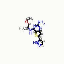 COC[C@@H](C)Nc1nc(N)nc2cc(-c3ccn[nH]3)sc12